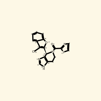 O=C(c1nccs1)N1CCc2[nH]cnc2[C@H]1c1oc2ccccc2c1Cl